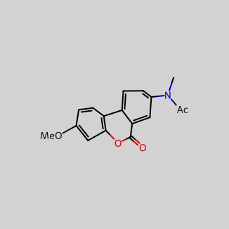 COc1ccc2c(c1)oc(=O)c1cc(N(C)C(C)=O)ccc12